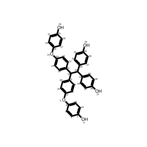 Oc1ccc(Oc2ccc(C(c3ccc(Oc4ccc(O)cc4)cc3)C(c3ccc(O)cc3)c3ccc(O)cc3)cc2)cc1